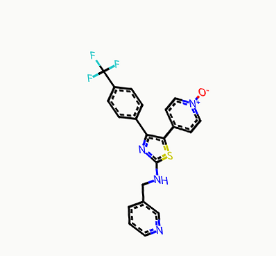 [O-][n+]1ccc(-c2sc(NCc3cccnc3)nc2-c2ccc(C(F)(F)F)cc2)cc1